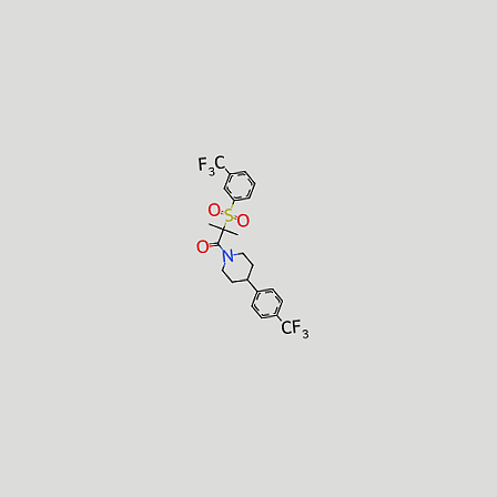 CC(C)(C(=O)N1CCC(c2ccc(C(F)(F)F)cc2)CC1)S(=O)(=O)c1cccc(C(F)(F)F)c1